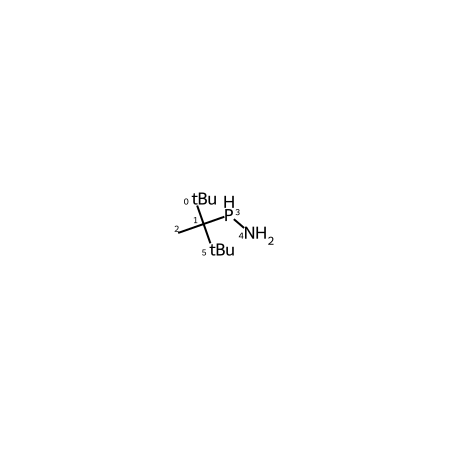 CC(C)(C)C(C)(PN)C(C)(C)C